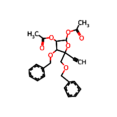 C#CC1(COCc2ccccc2)OC(OC(C)=O)C(OC(C)=O)C1OCc1ccccc1